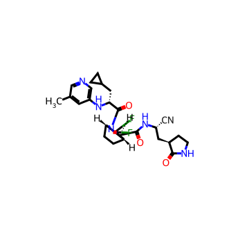 Cc1cncc(N[C@H](CC2CC2)C(=O)N2[C@H]3CC[C@@H]([C@@H]2C(=O)N[C@H](C#N)C[C@H]2CCNC2=O)C(F)(F)C3)c1